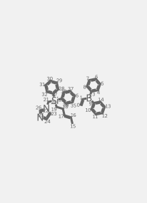 C=CB(c1ccccc1)c1ccccc1.CC=CCC[Si](Cn1ccnc1)(c1ccccc1)c1ccccc1